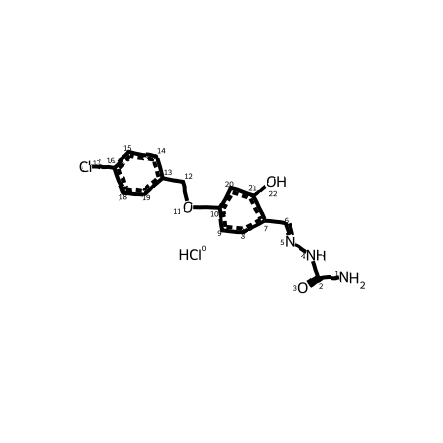 Cl.NC(=O)NN=Cc1ccc(OCc2ccc(Cl)cc2)cc1O